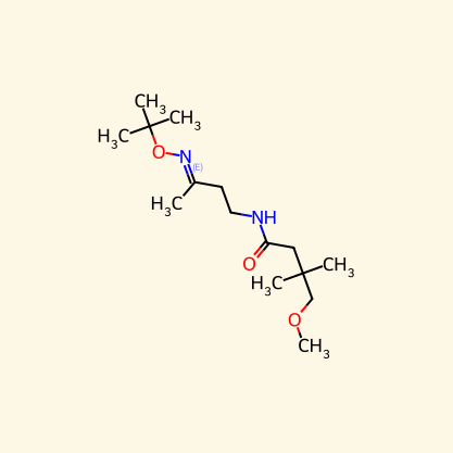 COCC(C)(C)CC(=O)NCC/C(C)=N/OC(C)(C)C